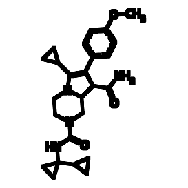 COc1ccc(C2=C(C3CC3)N3CCN(C(=O)NC4(C5CC5)CC4)CC3C2C(N)=O)cc1